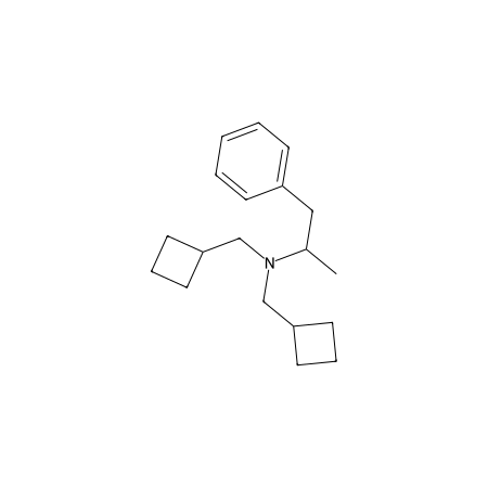 CC(Cc1ccccc1)N(CC1CCC1)CC1CCC1